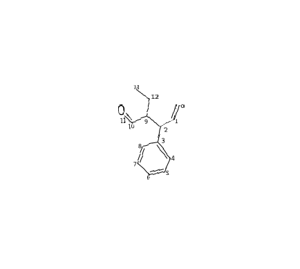 C=CC(c1ccccc1)C(C=O)CC